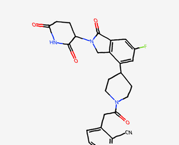 N#Cc1ccccc1CC(=O)N1CCC(c2cc(F)cc3c2CN(C2CCC(=O)NC2=O)C3=O)CC1